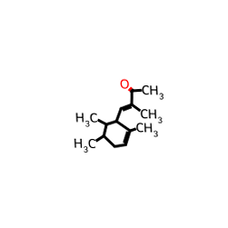 CC(=O)/C(C)=C/C1C(C)=CCC(C)C1C